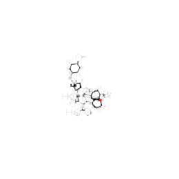 COc1ccc(Cn2cc3c(n2)[C@]2(O)C(=O)[C@H](C(=O)O)[C@@H](c4ccccc4)[C@]2(c2ccc(Br)cc2)O3)cc1